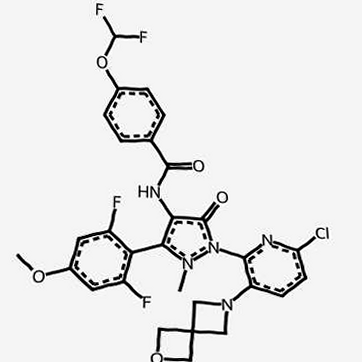 COc1cc(F)c(-c2c(NC(=O)c3ccc(OC(F)F)cc3)c(=O)n(-c3nc(Cl)ccc3N3CC4(COC4)C3)n2C)c(F)c1